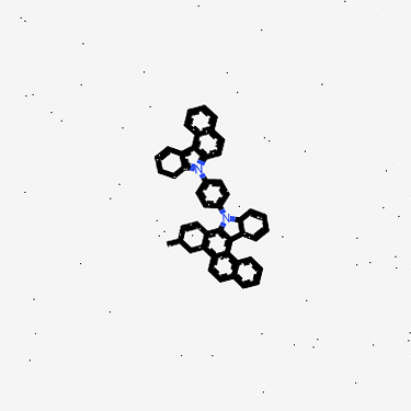 CC1C=Cc2c3c(c4c(ccc5ccccc54)c2C1)C1C=CC=CC1N3c1ccc(-n2c3c(c4c5ccccc5ccc42)C=CCC3)cc1